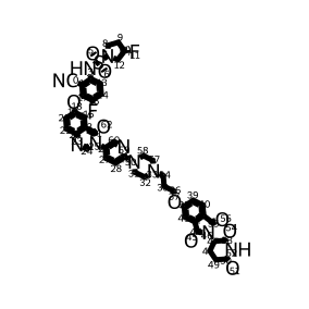 N#Cc1c(NS(=O)(=O)N2CC[C@@H](F)C2)ccc(F)c1Oc1ccc2ncn(-c3ccc(N4CCN(CCCOc5ccc6c(c5)C(=O)N(C5CCC(=O)NC5=O)C6=O)CC4)nc3)c(=O)c2c1